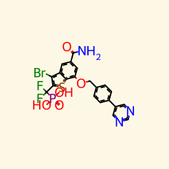 NC(=O)c1cc(OCc2ccc(-c3cncnc3)cc2)c2sc(C(F)(F)P(=O)(O)O)c(Br)c2c1